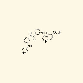 O=C(O)c1ccc2nccc(Nc3cccc(C(=O)Nc4cccc(Nc5ccncc5)c4)c3)c2c1